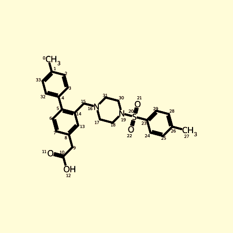 Cc1ccc(-c2ccc(CC(=O)O)cc2CN2CCN(S(=O)(=O)c3ccc(C)cc3)CC2)cc1